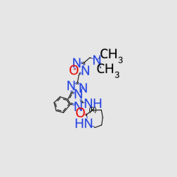 CN(C)Cc1noc(-c2nc3c4ccccc4nc(N[C@@H]4CCCCNC4=O)n3n2)n1